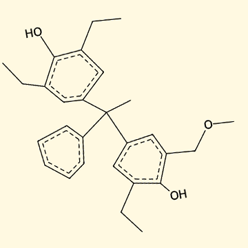 CCc1cc(C(C)(c2ccccc2)c2cc(CC)c(O)c(COC)c2)cc(CC)c1O